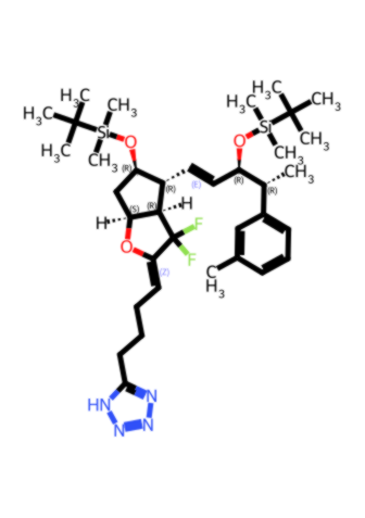 Cc1cccc([C@@H](C)[C@@H](/C=C/[C@@H]2[C@@H]3[C@H](C[C@H]2O[Si](C)(C)C(C)(C)C)O/C(=C\CCCc2nnn[nH]2)C3(F)F)O[Si](C)(C)C(C)(C)C)c1